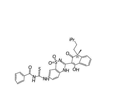 CC(C)CC[C@@]1(C)C(=O)C(C2=NS(=O)(=O)c3cc(NC(=S)NC(=O)c4ccccc4)ccc3N2)=C(O)c2ccccc21